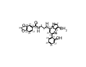 Bc1cnn2c(NCCNC(=O)c3ccc4c(c3)OCO4)cc(-c3ccccc3O)nc12